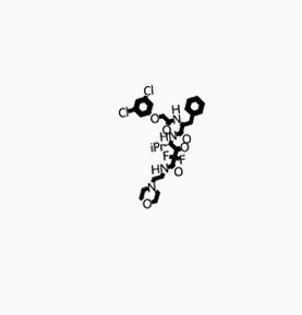 CC(C)[C@H](NC(=O)C(Cc1ccccc1)NC(=O)COc1cc(Cl)cc(Cl)c1)C(=O)C(F)(F)C(=O)NCCN1CCOCC1